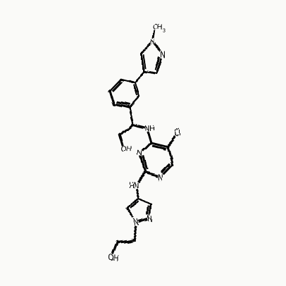 Cn1cc(-c2cccc(C(CO)Nc3nc(Nc4cnn(CCO)c4)ncc3Cl)c2)cn1